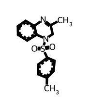 CC1=Nc2ccccc2N(S(=O)(=O)c2ccc(C)cc2)C1